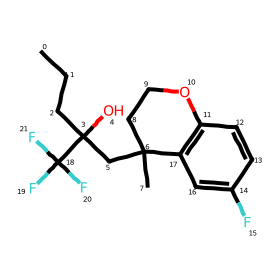 C[CH]CC(O)(CC1(C)CCOc2ccc(F)cc21)C(F)(F)F